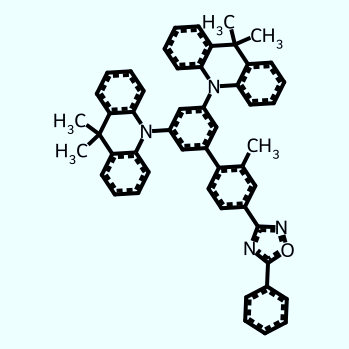 Cc1cc(-c2noc(-c3ccccc3)n2)ccc1-c1cc(N2c3ccccc3C(C)(C)c3ccccc32)cc(N2c3ccccc3C(C)(C)c3ccccc32)c1